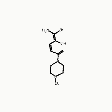 C=C(/C=C\C(O)=C(/N)Br)N1CCN(CC)CC1